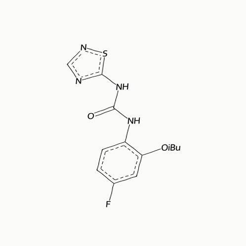 CC(C)COc1cc(F)ccc1NC(=O)Nc1ncns1